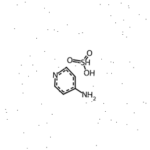 Nc1ccncc1.O=[SH](=O)O